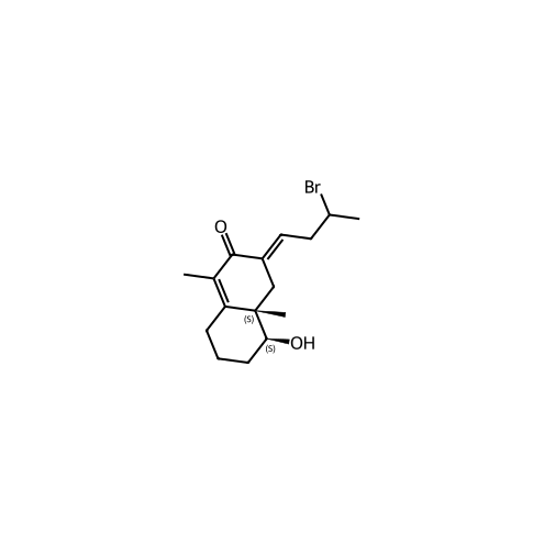 CC1=C2CCC[C@H](O)[C@@]2(C)CC(=CCC(C)Br)C1=O